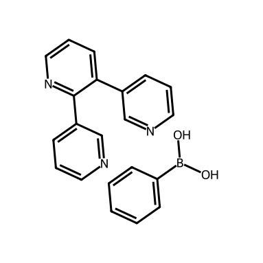 OB(O)c1ccccc1.c1cncc(-c2cccnc2-c2cccnc2)c1